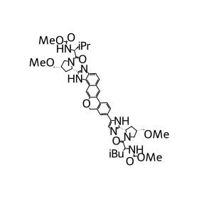 CC[C@H](C)[C@H](NC(=O)OC)C(=O)N1C[C@@H](COC)C[C@H]1c1ncc(-c2ccc3c(c2)COc2cc4c(ccc5nc([C@@H]6C[C@H](COC)CN6C(=O)[C@@H](NC(=O)OC)C(C)C)[nH]c54)cc2-3)[nH]1